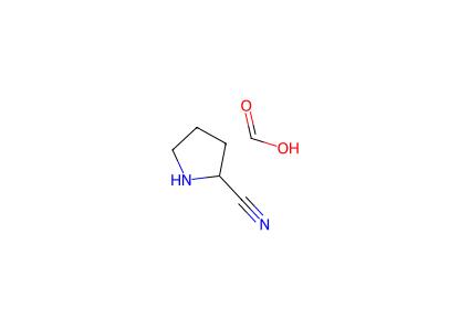 N#CC1CCCN1.O=CO